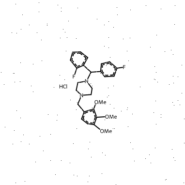 COc1ccc(CN2CCN(C(c3ccc(F)cc3)c3ccccc3F)CC2)c(OC)c1OC.Cl